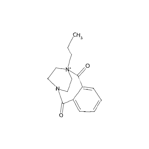 CCC[N+]12CCN(CC1)C(=O)c1ccccc1C2=O